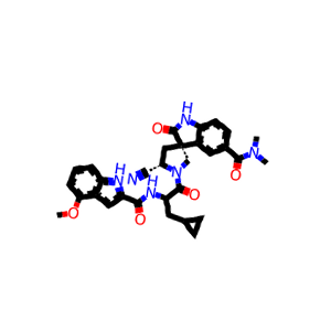 COc1cccc2[nH]c(C(=O)NC(CC3CC3)C(=O)N3C[C@]4(C[C@H]3C#N)C(=O)Nc3ccc(C(=O)N(C)C)cc34)cc12